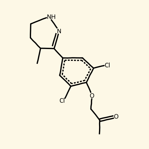 CC(=O)COc1c(Cl)cc(C2=NNCCC2C)cc1Cl